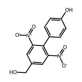 O=[N+]([O-])c1cc(CO)cc([N+](=O)[O-])c1-c1ccc(O)cc1